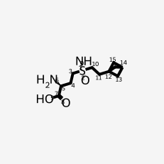 N=S(=O)(CC[C@H](N)C(=O)O)CCC12CC(C1)C2